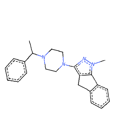 CC(c1ccccc1)N1CCN(c2nn(C)c3c2Cc2ccccc2-3)CC1